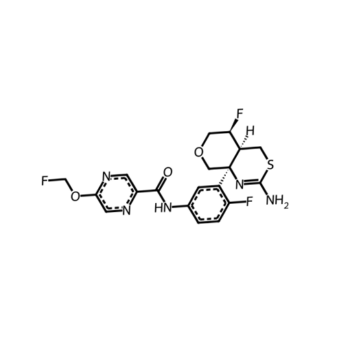 NC1=N[C@@]2(c3cc(NC(=O)c4cnc(OCF)cn4)ccc3F)COC[C@@H](F)[C@H]2CS1